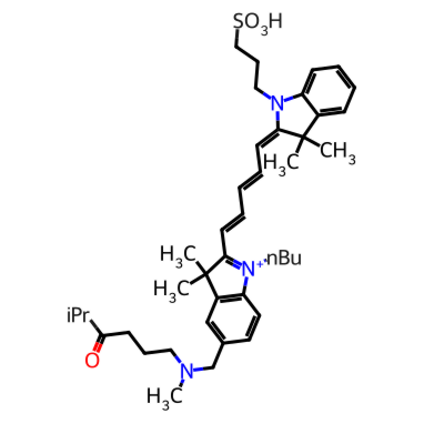 CCCC[N+]1=C(/C=C/C=C/C=C2/N(CCCS(=O)(=O)O)c3ccccc3C2(C)C)C(C)(C)c2cc(CN(C)CCCC(=O)C(C)C)ccc21